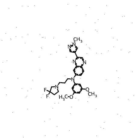 COc1cc(OC)cc(N(CCCN2CCC(F)(F)C2)c2ccc3ncc(-c4cnn(C)c4)nc3c2)c1